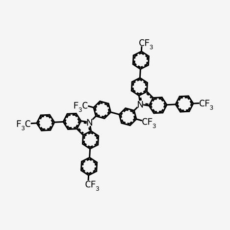 FC(F)(F)c1ccc(-c2ccc3c(c2)c2cc(-c4ccc(C(F)(F)F)cc4)ccc2n3-c2cc(-c3ccc(C(F)(F)F)c(-n4c5ccc(-c6ccc(C(F)(F)F)cc6)cc5c5cc(-c6ccc(C(F)(F)F)cc6)ccc54)c3)ccc2C(F)(F)F)cc1